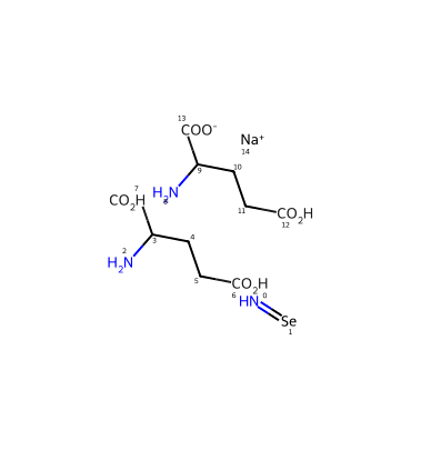 N=[Se].NC(CCC(=O)O)C(=O)O.NC(CCC(=O)O)C(=O)[O-].[Na+]